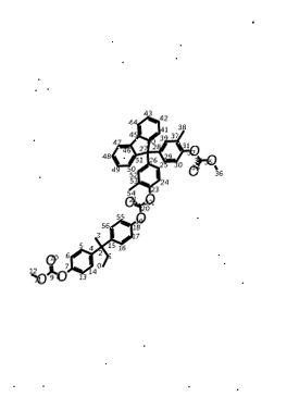 CCC(C)(c1ccc(OC(=O)OC)cc1)c1ccc(OC(=O)Oc2ccc(C3(c4ccc(OC(=O)OC)c(C)c4)c4ccccc4-c4ccccc43)cc2C)cc1